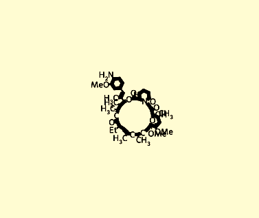 CC[C@@H]1/C=C(\C)C[C@H](C)C[C@H](OC)[C@H]2O[C@@](O)(C(=O)C(=O)N3CCCC[C@H]3C(=O)O[C@H](/C(C)=C/[C@@H]3CC[C@H](N)[C@H](OC)C3)[C@H](C)[C@@H](C)CC1=O)[C@H](C)C[C@@H]2OC